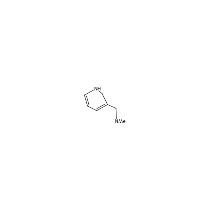 CNCC1=CC=CNC1